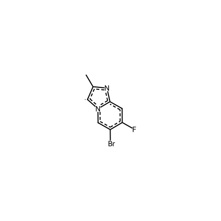 Cc1[c]n2cc(Br)c(F)cc2n1